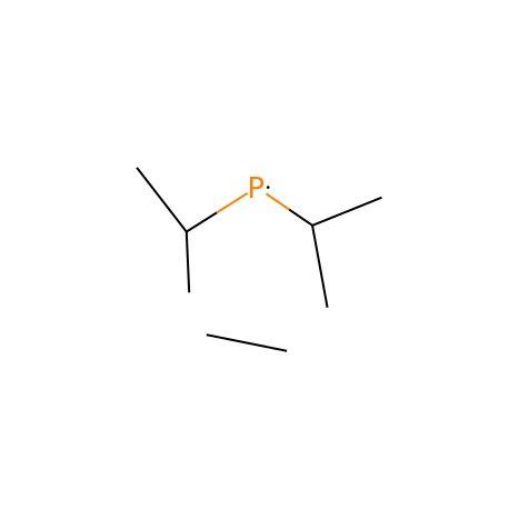 CC.CC(C)[P]C(C)C